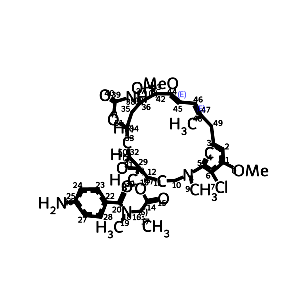 COc1cc2cc(c1Cl)N(C)CC[C@H](OC(=O)[C@H](C)N(C)C(=O)c1ccc(N)cc1)[C@]1(C)O[C@H]1C[C@@H]1C[C@@](O)(NC(=O)O1)[C@H](OC)/C=C/C=C(\C)C2